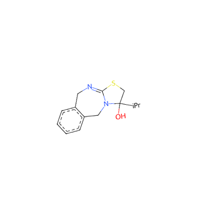 CC(C)C1(O)CSC2=NCc3ccccc3CN21